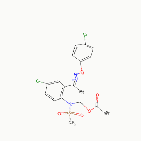 CCCC(=O)OCN(c1ccc(Cl)cc1/C(CC)=N/Oc1ccc(Cl)cc1)S(=O)(=O)C(F)(F)F